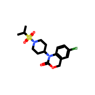 CC(C)S(=O)(=O)N1CCC(N2C(=O)OCc3cc(Cl)ccc32)CC1